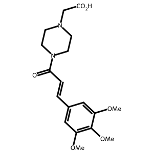 COc1cc(C=CC(=O)N2CCN(CC(=O)O)CC2)cc(OC)c1OC